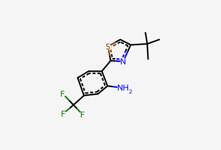 CC(C)(C)c1csc(-c2ccc(C(F)(F)F)cc2N)n1